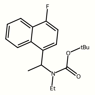 CCN(C(=O)OC(C)(C)C)C(C)c1ccc(F)c2ccccc12